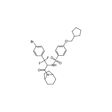 O=C(C(NS(=O)(=O)c1ccc(OCC2CCCC2)cc1)C(F)(F)c1ccc(Br)cc1)N1C2CCCC1CC2